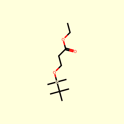 CCOC(=O)CCO[Si](C)(C)C(C)(C)C